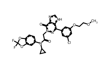 COCCOc1cc(Cl)cc(-c2nn(CC(=O)N(c3ccc4c(c3)OC(F)(F)O4)C3CC3)c(=O)c3nc[nH]c23)c1